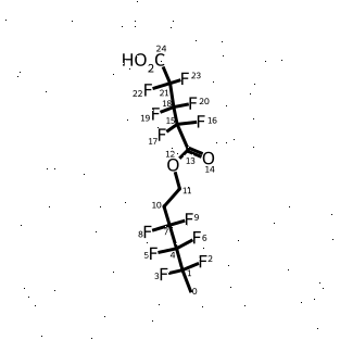 CC(F)(F)C(F)(F)C(F)(F)CCOC(=O)C(F)(F)C(F)(F)C(F)(F)C(=O)O